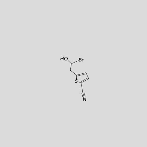 N#Cc1ccc(CC(O)Br)s1